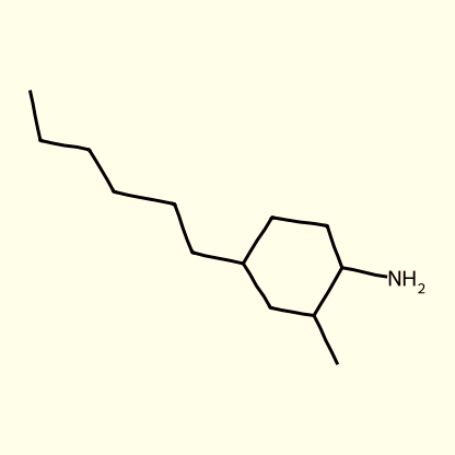 CCCCCCC1CCC(N)C(C)C1